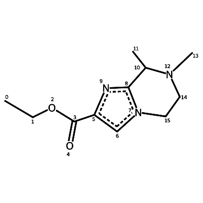 CCOC(=O)c1cn2c(n1)C(C)N(C)CC2